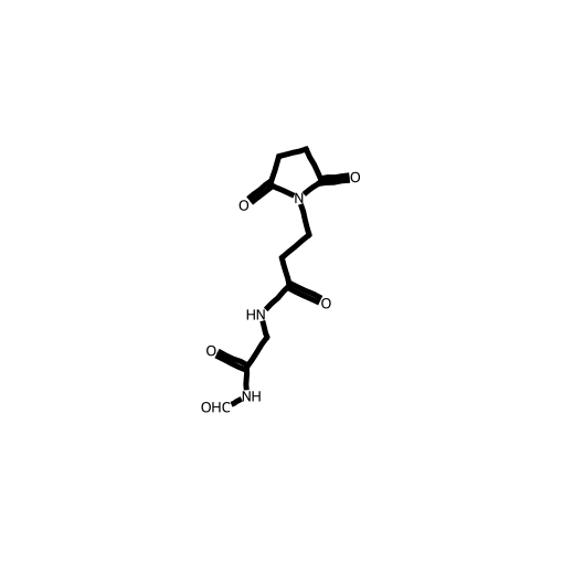 O=CNC(=O)CNC(=O)CCN1C(=O)CCC1=O